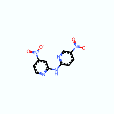 O=[N+]([O-])c1ccc(Nc2cc([N+](=O)[O-])ccn2)nc1